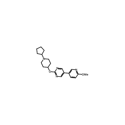 COc1ccc(-c2cnc(OC3CCN(C4CCCC4)CC3)nc2)cn1